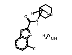 Cl.O.O=C(N[C@H]1CN2CCC1CC2)c1cc2cccc(Cl)c2s1